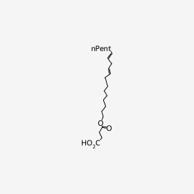 CCCCCC=CCC=CCCCCCCCCOC(=O)CCC(=O)O